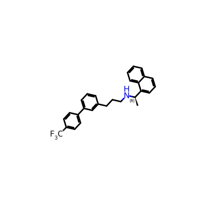 C[C@@H](NCCCc1cccc(-c2ccc(C(F)(F)F)cc2)c1)c1cccc2ccccc12